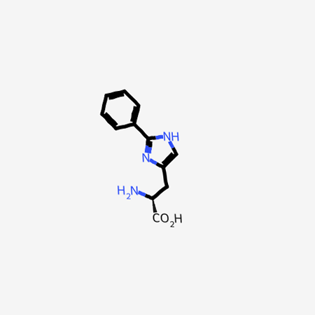 N[C@@H](Cc1c[nH]c(-c2ccccc2)n1)C(=O)O